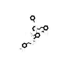 COc1ccc(CCS(=O)(=O)Nc2nn(C)c3c(-n4c(C(Cc5cc(F)cc(F)c5)NC(=O)O)nc(OCc5ccccc5)cc4=O)ccc(Cl)c23)cc1